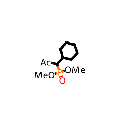 COP(=O)(OC)C(C(C)=O)C1CCCCC1